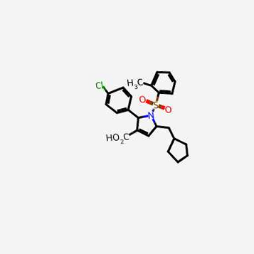 Cc1ccccc1S(=O)(=O)N1C(CC2CCCC2)C=C(C(=O)O)C1c1ccc(Cl)cc1